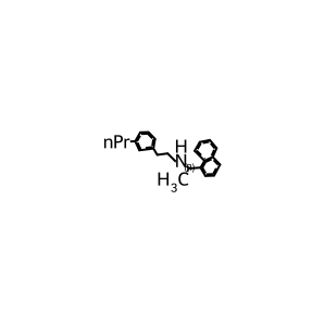 CCCc1cccc(CCCN[C@H](C)c2cccc3ccccc23)c1